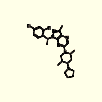 Cc1nn(C(C)c2ccc(Cl)cc2Cl)c2nc(N3CC(C)C(N4CCCC4)CC3C)cnc12